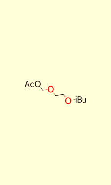 CCC(C)OCCOCOC(C)=O